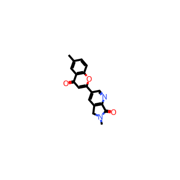 Cc1ccc2oc(-c3cnc4c(c3)CN(C)C4=O)cc(=O)c2c1